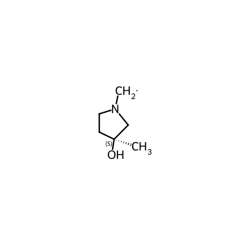 [CH2]N1CC[C@](C)(O)C1